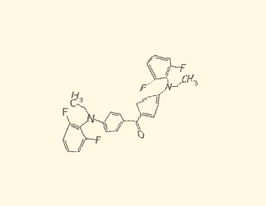 CCN(c1ccc(C(=O)c2ccc(N(CC)c3c(F)cccc3F)cc2)cc1)c1c(F)cccc1F